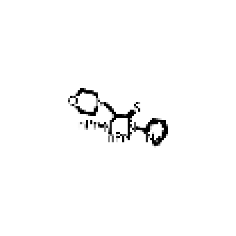 CCCN(CCC)C(CN1CCOCC1)C(=S)N(C)c1ccccn1